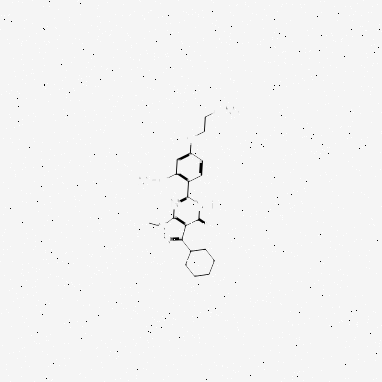 COCCOc1ccc(-c2nc3c(c(C4CCCCC4)nn3C)c(=O)[nH]2)c(OC)c1